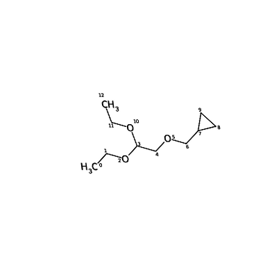 CCOC(COCC1CC1)OCC